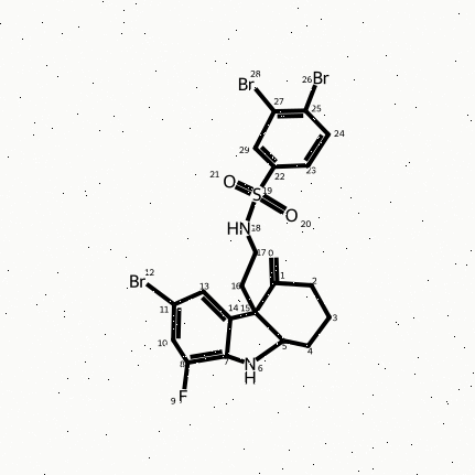 C=C1CCCC2Nc3c(F)cc(Br)cc3C12CCNS(=O)(=O)c1ccc(Br)c(Br)c1